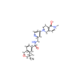 Cn1ccc2c(c1=O)CCN(c1ccnc(CNC(=O)c3ccc4c(c3)C(C)(C#N)COC4)c1)C2